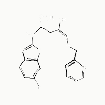 C/C(=C/OCc1ccccn1)C[C@H](Nc1nc2ccc(F)cc2o1)C(=O)O